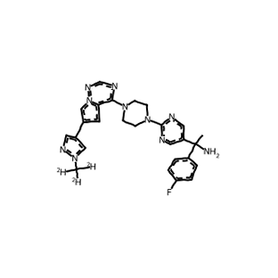 [2H]C([2H])([2H])n1cc(-c2cc3c(N4CCN(c5ncc(C(C)(N)c6ccc(F)cc6)cn5)CC4)ncnn3c2)cn1